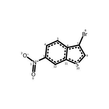 O=[N+]([O-])c1ccc2c(Br)csc2c1